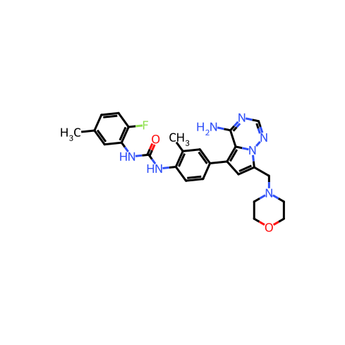 Cc1ccc(F)c(NC(=O)Nc2ccc(-c3cc(CN4CCOCC4)n4ncnc(N)c34)cc2C)c1